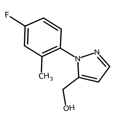 Cc1cc(F)ccc1-n1nccc1CO